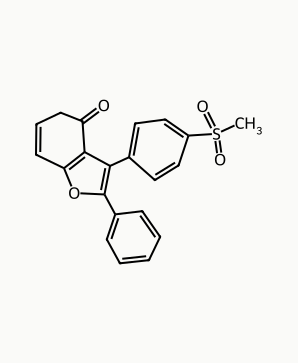 CS(=O)(=O)c1ccc(-c2c(-c3ccccc3)oc3c2C(=O)CC=C3)cc1